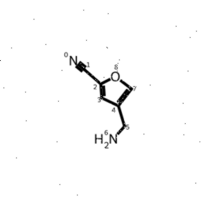 N#Cc1cc(CN)co1